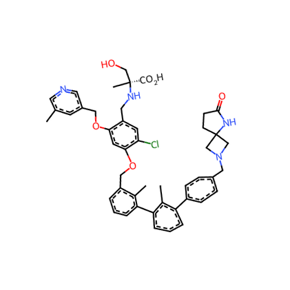 Cc1cncc(COc2cc(OCc3cccc(-c4cccc(-c5ccc(CN6CC7(CCC(=O)N7)C6)cc5)c4C)c3C)c(Cl)cc2CN[C@@](C)(CO)C(=O)O)c1